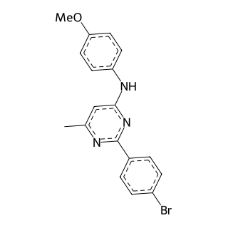 COc1ccc(Nc2cc(C)nc(-c3ccc(Br)cc3)n2)cc1